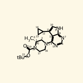 C[C@@H]1CN(c2ncnc3[nH]cc(C4CC4)c23)CCN1C(=O)OC(C)(C)C